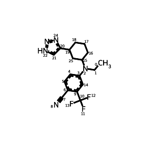 CCN(c1ccc(C#N)c(C(F)(F)F)c1)C1CCCC(c2c[nH]nn2)C1